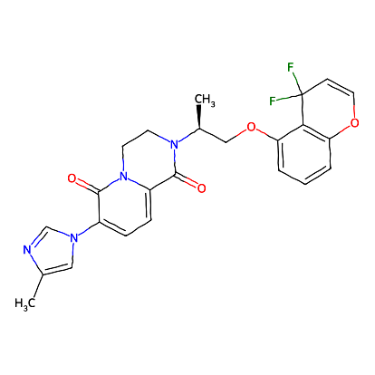 Cc1cn(-c2ccc3n(c2=O)CCN([C@@H](C)COc2cccc4c2C(F)(F)C=CO4)C3=O)cn1